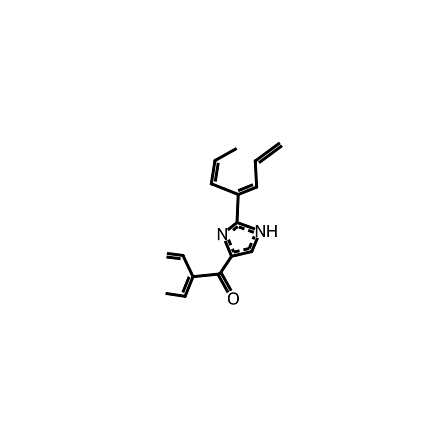 C=C/C=C(\C=C/C)c1nc(C(=O)/C(C=C)=C/C)c[nH]1